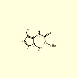 CCCCOC(=O)Nc1c(C#N)cnn1C(C)C